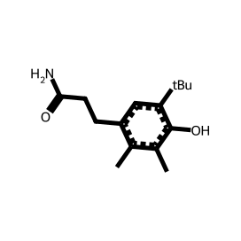 Cc1c(CCC(N)=O)cc(C(C)(C)C)c(O)c1C